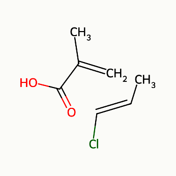 C=C(C)C(=O)O.CC=CCl